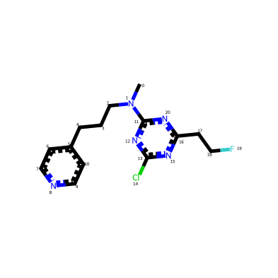 CN(CCCc1ccncc1)c1nc(Cl)nc(CCF)n1